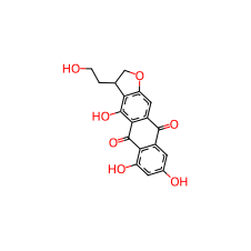 O=C1c2cc(O)cc(O)c2C(=O)c2c1cc1c(c2O)C(CCO)CO1